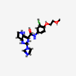 COCCOc1ccc(NC(=O)c2nc(-n3ccnc3)nc3cc[nH]c23)cc1F